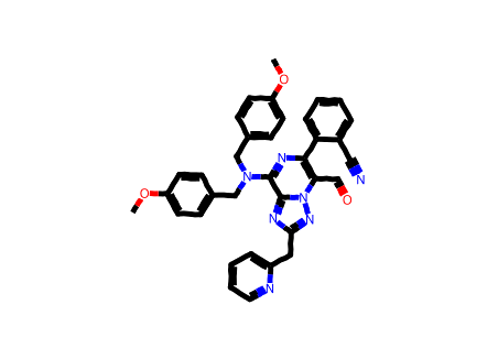 COc1ccc(CN(Cc2ccc(OC)cc2)c2nc(-c3ccccc3C#N)c(C=O)n3nc(Cc4ccccn4)nc23)cc1